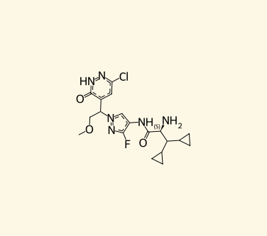 COCC(c1cc(Cl)n[nH]c1=O)n1cc(NC(=O)[C@@H](N)C(C2CC2)C2CC2)c(F)n1